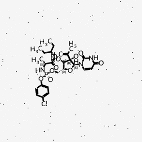 C=C(C)[C@@]1(O)[C@H](O)[C@@H](COP(=O)(N[C@@H](C)C(=O)OC(CC)CC)Oc2ccc(Cl)cc2)O[C@@H]1n1ccc(=O)[nH]c1=O